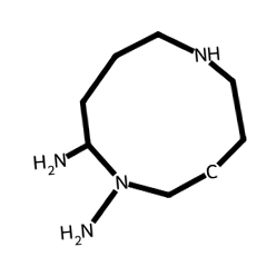 NC1CCCNCCCCN1N